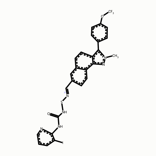 Cn1nc2c(ccc3cc(/C=N/SNC(=O)Nc4ncccc4I)ccc32)c1-c1ccc(OC(F)(F)F)cc1